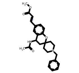 COC(=O)/C=C/c1ccc2c(c1)C(NC(C)=O)CC1(CCN(Cc3ccccc3)CC1)O2